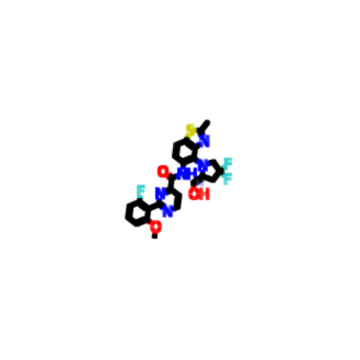 COc1cccc(F)c1-c1nccc(C(=O)Nc2ccc3sc(C)nc3c2N2CC(F)(F)C/C2=C\O)n1